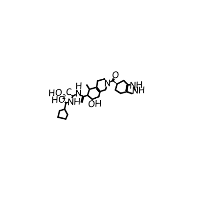 C=C(N[C@@H](NC(O)C1CCCC1)C(=O)O)C1C(C)C2=C(C[C@@H]1O)CN(C(=O)[C@@H]1CCC3=C(C1)NNC3)CC2